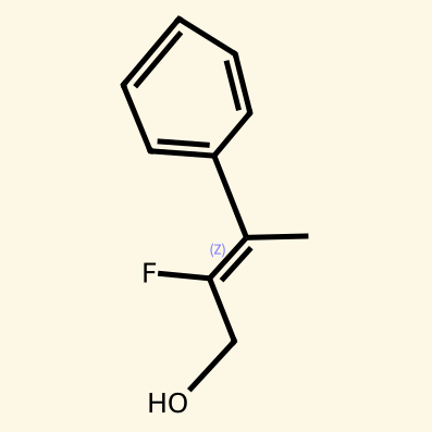 C/C(=C(/F)CO)c1ccccc1